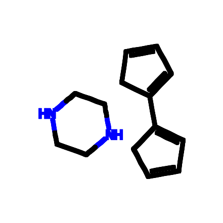 C1=CCC(C2=CC=CC2)=C1.C1CNCCN1